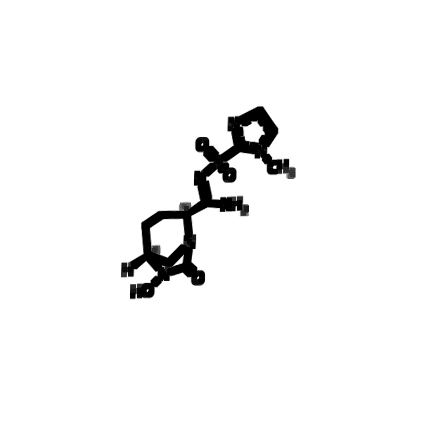 Cn1ccnc1S(=O)(=O)N=C(N)[C@@H]1CC[C@@H]2CN1C(=O)N2O